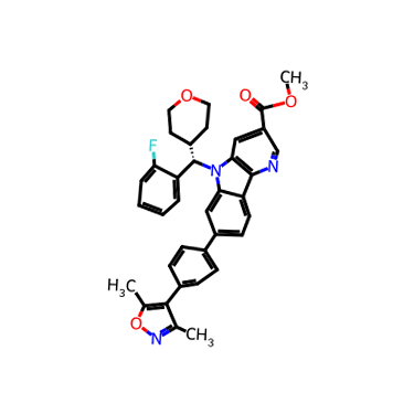 COC(=O)c1cnc2c3ccc(-c4ccc(-c5c(C)noc5C)cc4)cc3n([C@H](c3ccccc3F)C3CCOCC3)c2c1